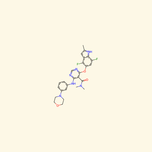 Cc1cc2c(F)c(Oc3ncnc(Nc4cccc(N5CCOCC5)c4)c3C(=O)N(C)C)cc(F)c2[nH]1